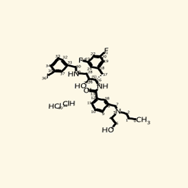 CCCN(CCO)Cc1cccc(C(=O)N[C@@H](Cc2cc(F)cc(F)c2)[C@@H](O)CNCc2cccc(I)c2)c1.Cl.Cl